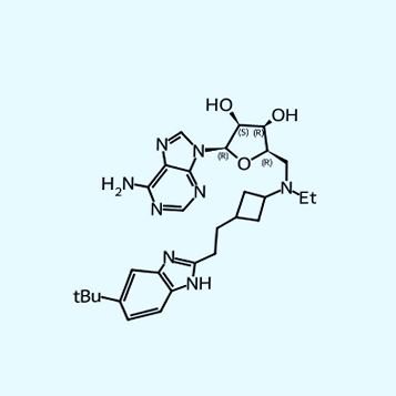 CCN(C[C@H]1O[C@@H](n2cnc3c(N)ncnc32)[C@@H](O)[C@H]1O)C1CC(CCc2nc3cc(C(C)(C)C)ccc3[nH]2)C1